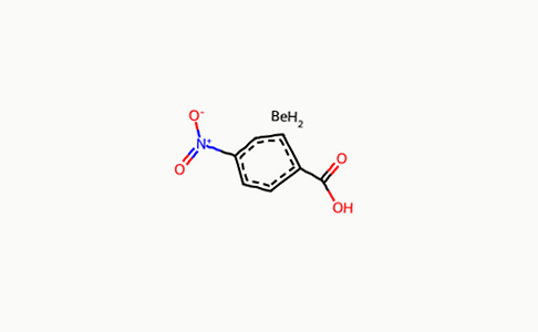 O=C(O)c1ccc([N+](=O)[O-])cc1.[BeH2]